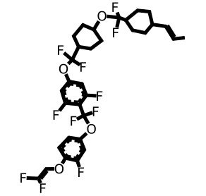 C/C=C/C1CCC(C(F)(F)OC2CCC(C(F)(F)Oc3cc(F)c(C(F)(F)Oc4ccc(OC=C(F)F)c(F)c4)c(F)c3)CC2)CC1